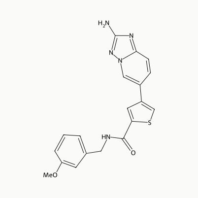 COc1cccc(CNC(=O)c2cc(-c3ccc4nc(N)nn4c3)cs2)c1